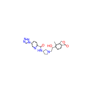 Cc1c(C(O)CN2CC[C@H](NC(=O)c3ccc(-n4cnnn4)cn3)C2)ccc2c1COC2=O